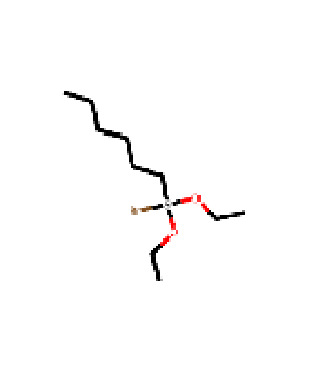 CCCCCC[Si](Br)(OCC)OCC